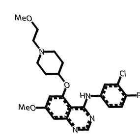 COCCN1CCC(Oc2cc(OC)cc3ncnc(Nc4ccc(F)c(Cl)c4)c23)CC1